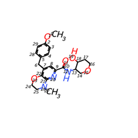 COc1ccc(Cc2cc(C(=O)NC3COCCC3O)nc3c2OCCN3C)cc1